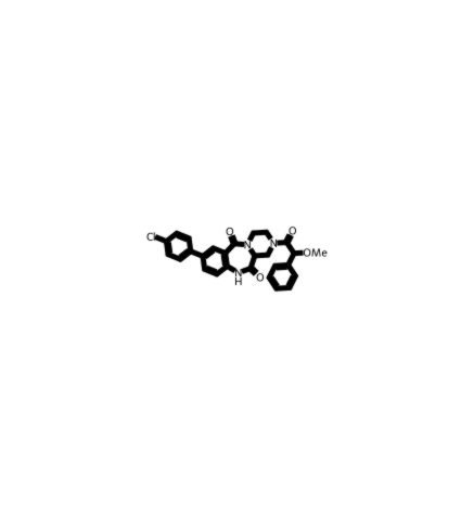 COC(C(=O)N1CCN2C(=O)c3cc(-c4ccc(Cl)cc4)ccc3NC(=O)C2C1)c1ccccc1